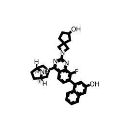 Oc1cc(-c2ccc3c(N4C[C@H]5CC[C@@H](C4)N5)nc(N4CC5(CCC(O)C5)C4)nc3c2F)c2ccccc2c1